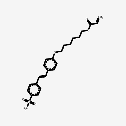 C=CC(=O)OCCCCCCSc1ccc(C=Cc2ccc(S(C)(=O)=O)cc2)cc1